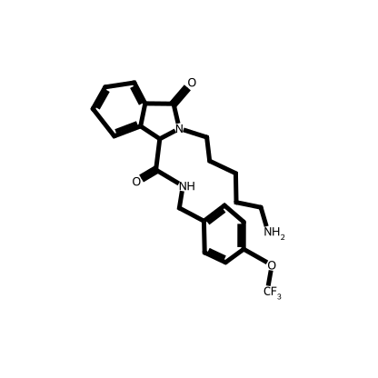 NCCCCCN1C(=O)c2ccccc2C1C(=O)NCc1ccc(OC(F)(F)F)cc1